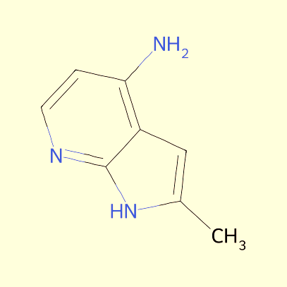 Cc1cc2c(N)ccnc2[nH]1